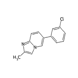 Cc1cn2cc(-c3cccc(Cl)c3)ccc2n1